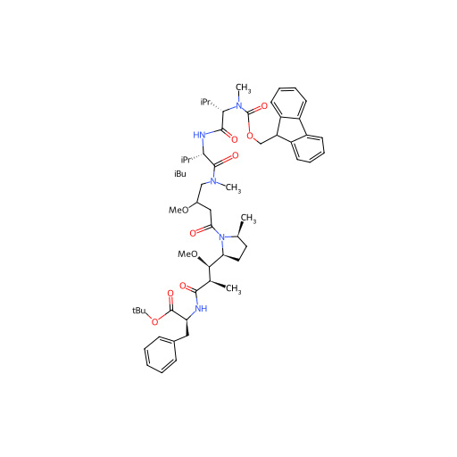 CC[C@H](C)C(C(CC(=O)N1[C@@H](C)CC[C@H]1[C@H](OC)[C@@H](C)C(=O)N[C@@H](Cc1ccccc1)C(=O)OC(C)(C)C)OC)N(C)C(=O)[C@@H](NC(=O)[C@H](C(C)C)N(C)C(=O)OCC1c2ccccc2-c2ccccc21)C(C)C